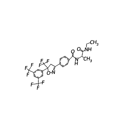 CCNC(=O)C(C)NC(=O)c1ccc(C2=NOC(c3cc(C(F)(F)F)cc(C(F)(F)F)c3)(C(F)(F)F)C2)cc1